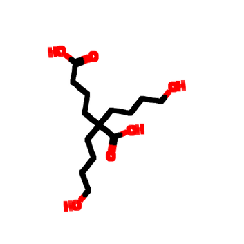 O=C(O)CCCC(CCCCO)(CCCCO)C(=O)O